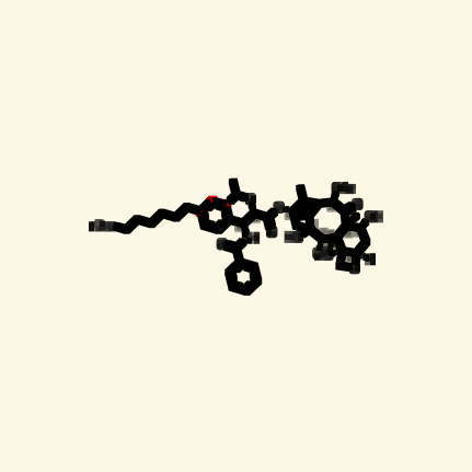 CCCCCCCCCCCCCCCCCCOC(C)O[C@@H](C(=O)O[C@H]1C[C@@]2(O)[C@@H](O)[C@@H]3[C@]4(O)CO[C@@H]4C[C@H](O)[C@@]3(C)C(=O)[C@H](OC(C)=O)C(=C1C)C2(C)C)[C@@H](NC(=O)c1ccccc1)c1ccccc1